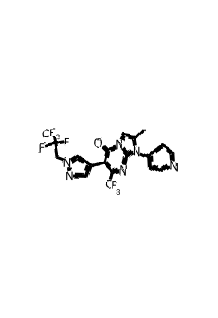 Cc1cn2c(=O)c(-c3cnn(CC(F)(F)C(F)(F)F)c3)c(C(F)(F)F)nc2n1-c1ccncc1